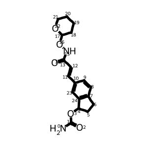 NC(=O)OC1CCc2ccc(C=CC(=O)NOC3CCCCO3)cc21